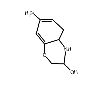 NC1=CCC2NC(O)COC2=C1